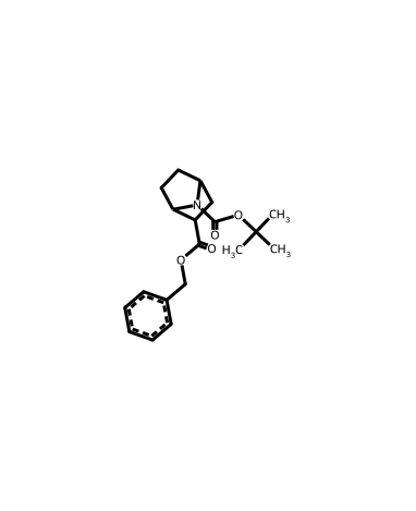 CC(C)(C)OC(=O)N1C2CCC1C(C(=O)OCc1ccccc1)C2